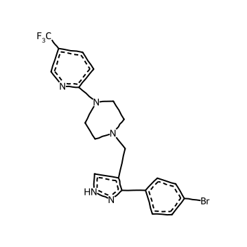 FC(F)(F)c1ccc(N2CCN(Cc3c[nH]nc3-c3ccc(Br)cc3)CC2)nc1